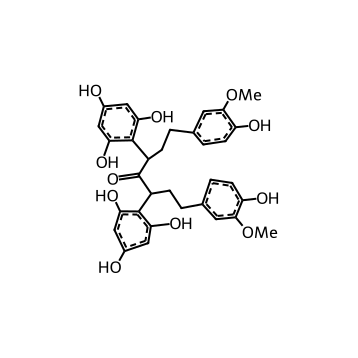 COc1cc(CCC(C(=O)C(CCc2ccc(O)c(OC)c2)c2c(O)cc(O)cc2O)c2c(O)cc(O)cc2O)ccc1O